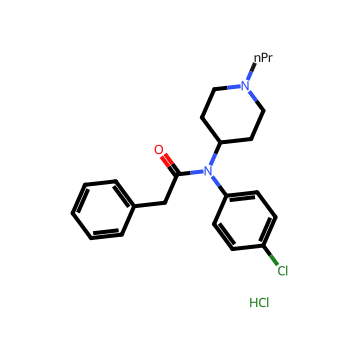 CCCN1CCC(N(C(=O)Cc2ccccc2)c2ccc(Cl)cc2)CC1.Cl